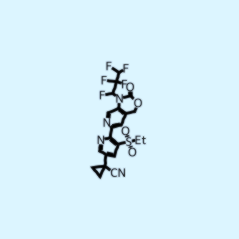 CCS(=O)(=O)c1cc(C2(C#N)CC2)cnc1-c1cc2c(cn1)N(C(F)C(F)(F)C(F)F)C(=O)OC2